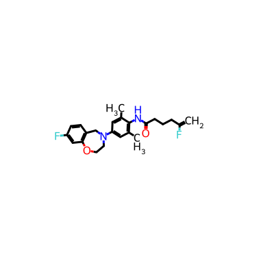 C=C(F)CCCC(=O)Nc1c(C)cc(N2CCOc3cc(F)ccc3C2)cc1C